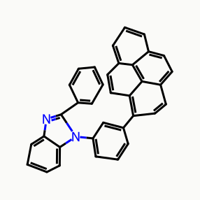 c1ccc(-c2nc3ccccc3n2-c2cccc(-c3ccc4ccc5cccc6ccc3c4c56)c2)cc1